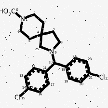 O=C(O)N1CCC2(CC1)CCN(C(c1ccc(Cl)cc1)c1ccc(Cl)cc1)C2